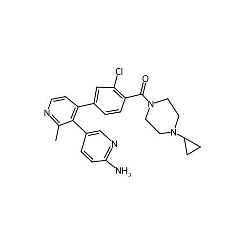 Cc1nccc(-c2ccc(C(=O)N3CCN(C4CC4)CC3)c(Cl)c2)c1-c1ccc(N)nc1